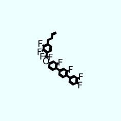 C=CCCc1ccc(C(F)(F)Oc2ccc(-c3ccc(-c4ccc(F)c(F)c4)c(F)c3)c(F)c2)c(F)c1F